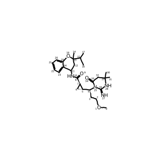 COCC[C@@H]([C@@H]1C[C@H]1C(=O)NC1CC(C)(C(C)C)Oc2ccccc21)N1C(=N)NC(C)(C)CC1=O